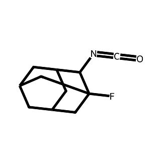 O=C=NC1C2CC3CC(C2)CC1(F)C3